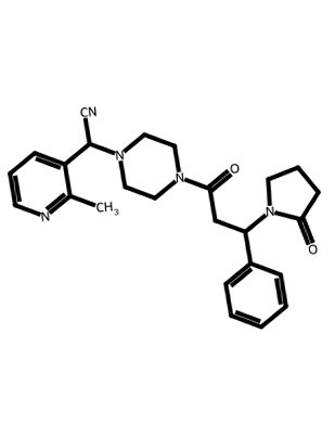 Cc1ncccc1C(C#N)N1CCN(C(=O)CC(c2ccccc2)N2CCCC2=O)CC1